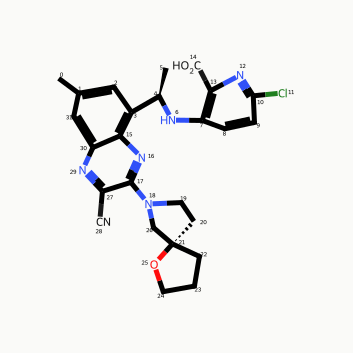 Cc1cc([C@@H](C)Nc2ccc(Cl)nc2C(=O)O)c2nc(N3CC[C@@]4(CCCO4)C3)c(C#N)nc2c1